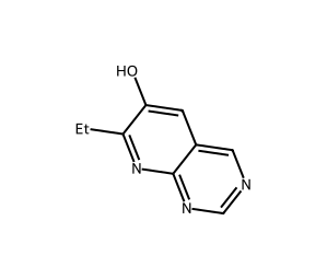 CCc1nc2ncncc2cc1O